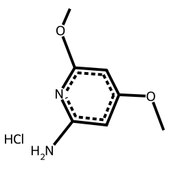 COc1cc(N)nc(OC)c1.Cl